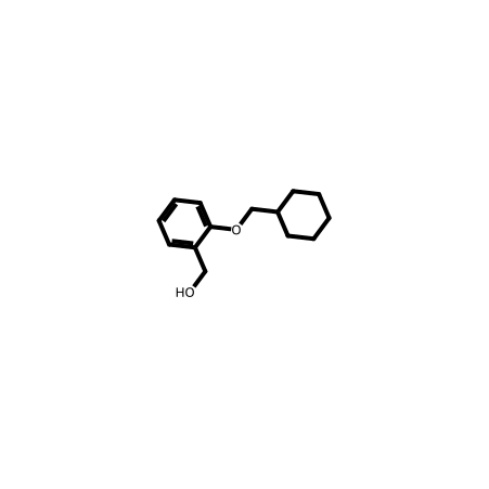 OCc1ccccc1OCC1CCCCC1